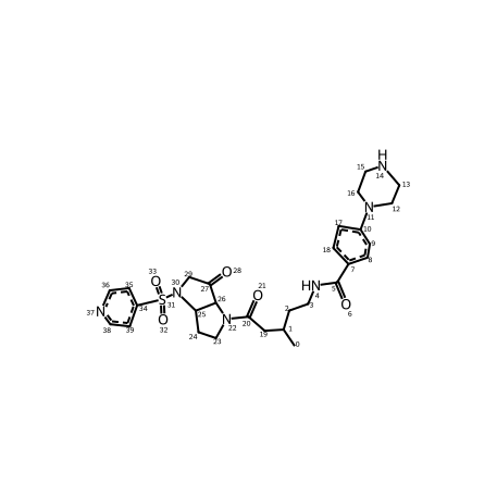 CC(CCNC(=O)c1ccc(N2CCNCC2)cc1)CC(=O)N1CCC2C1C(=O)CN2S(=O)(=O)c1ccncc1